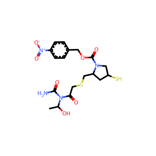 CC(O)N(C(N)=O)C(=O)CSCC1CC(S)CN1C(=O)OCc1ccc([N+](=O)[O-])cc1